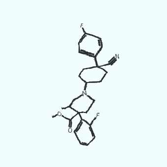 COC(=O)C1(c2ccccc2F)CCN(C2CCC(C#N)(c3ccc(F)cc3)CC2)CC1C